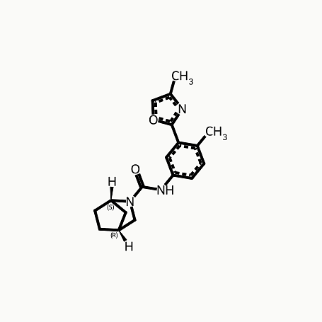 Cc1coc(-c2cc(NC(=O)N3C[C@@H]4CC[C@H]3C4)ccc2C)n1